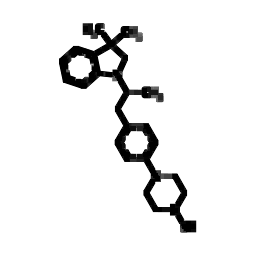 CC(Cc1ccc(N2CCN(S)CC2)cc1)N1CC(C)(C)c2ccccc21